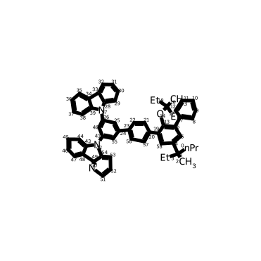 CCCC(C)(CC)c1cc(-c2ccccc2)c(OC(C)(CC)CC)c(-c2ccc(-c3cc(-n4c5ccccc5c5ccccc54)cc(-n4c5ccccc5c5ncccc54)c3)cc2)c1